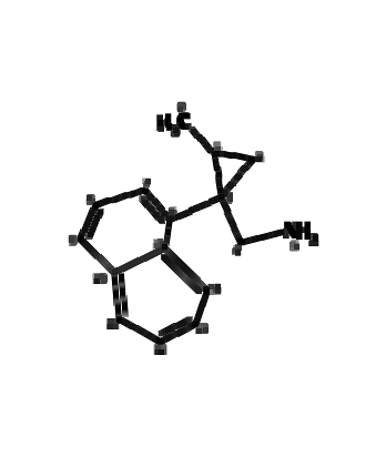 CC1CC1(CN)c1cccc2ccccc12